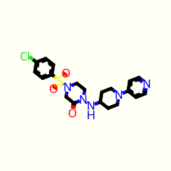 O=C1CN(S(=O)(=O)c2ccc(Cl)cc2)CCN1NC1CCN(c2ccncc2)CC1